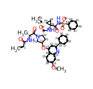 C=CC(=O)N[C@H](C)C(=O)N1CC(Oc2cc(-c3ccccc3)nc3cc(OC)ccc23)C[C@H]1C(=O)N[C@]1(C(=O)NS(=O)(=O)c2ccccc2)C[C@H]1C=C